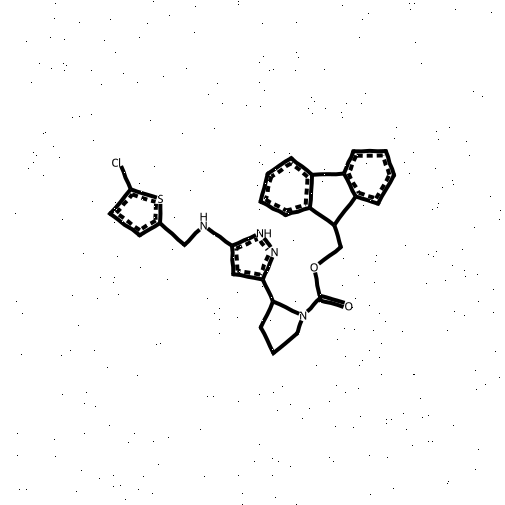 O=C(OCC1c2ccccc2-c2ccccc21)N1CCCC1c1cc(NCc2ccc(Cl)s2)[nH]n1